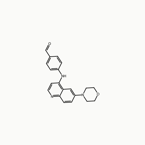 O=Cc1ccc(Nc2ccnc3ccc(N4CCOCC4)cc23)cc1